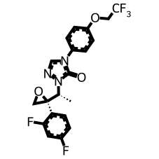 C[C@@H](n1ncn(-c2ccc(OCC(F)(F)F)cc2)c1=O)[C@@]1(c2ccc(F)cc2F)CO1